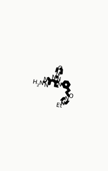 CCN1CCN(C(=O)CCc2cccc(N3CCc4c(-c5cnc(N)nc5)nc(N5CCOCC5)nc43)c2)CC1